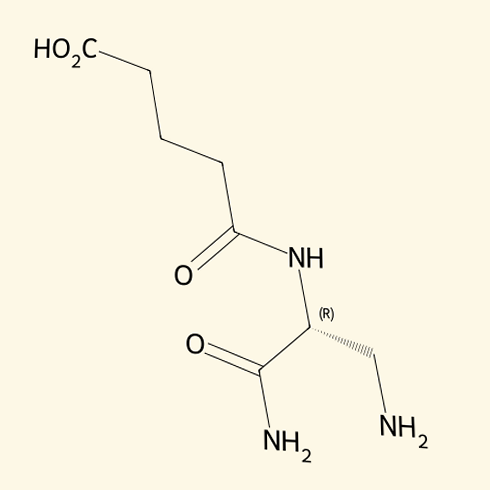 NC[C@@H](NC(=O)CCCC(=O)O)C(N)=O